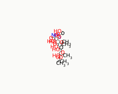 C/C=C(\C)C(=O)OC1C(O)CC(c2ccc3c(c2O)C(O)=C2C(=O)C4(O)C(O)=C(C(N)=O)C(=O)C(OC(=O)c5ccccc5O)C4CC2C3(C)OC)OC1C